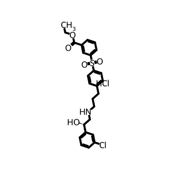 CCOC(=O)c1cccc(S(=O)(=O)c2ccc(CCCNC[C@@H](O)c3cccc(Cl)c3)cc2)c1.Cl